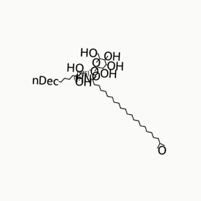 CCCCCCCCCCCCCC[C@@H](O)[C@@H](O)[C@H](COC1OC(CO)C(O)C(O)C1O)NC(=O)CCCCCCCCCCCCCCCCCCCCC1COC1